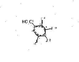 CCc1c(F)cc(C(=O)O)c(F)c1F